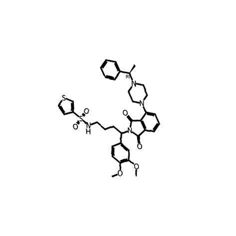 COc1ccc(C(CCCNS(=O)(=O)c2ccsc2)N2C(=O)c3cccc(N4CCN([C@H](C)c5ccccc5)CC4)c3C2=O)cc1OC